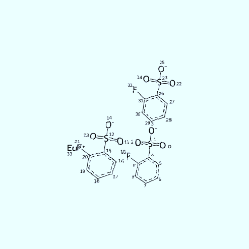 O=S(=O)([O-])c1ccccc1F.O=S(=O)([O-])c1ccccc1F.O=S(=O)([O-])c1ccccc1F.[Eu+3]